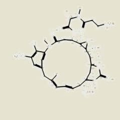 COc1cc2cc(c1Cl)N(C)C(=O)C[C@H](OC(=O)[C@H](C)N(C)C(=O)CCSC)[C@@]1(C)O[C@H]1[C@H](C)[C@@H]1C[C@@](O)(NC(=O)O1)[C@H](OC)/C=C/C=C(\C)C2